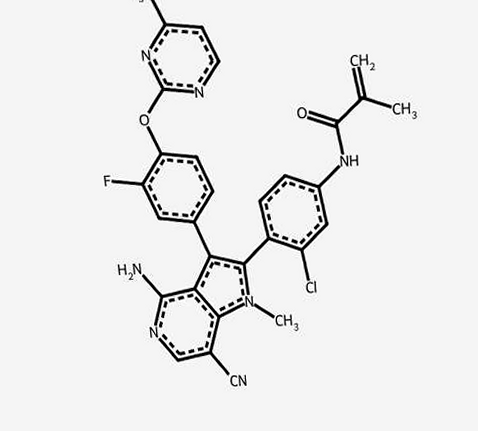 C=C(C)C(=O)Nc1ccc(-c2c(-c3ccc(Oc4nccc(C(F)(F)F)n4)c(F)c3)c3c(N)ncc(C#N)c3n2C)c(Cl)c1